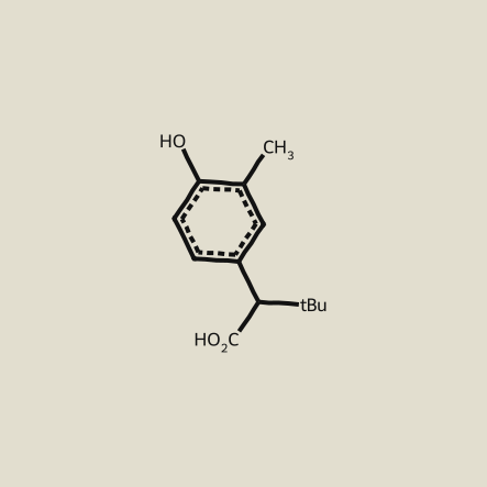 Cc1cc(C(C(=O)O)C(C)(C)C)ccc1O